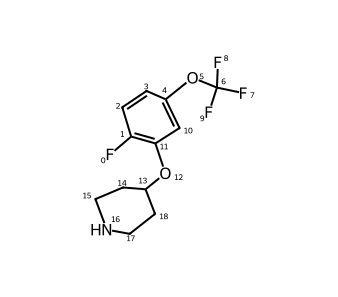 Fc1ccc(OC(F)(F)F)cc1OC1CCNCC1